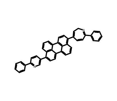 C1=CC(c2ccccc2)=NCC=C1c1ccc2c3cccc4c(-c5ccc(-c6ccccc6)nc5)ccc(c5cccc1c25)c43